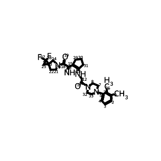 Cc1cccc(N2CCN(C(=O)CNC3=C(C(=N)C(=O)N4CCC5(C4)CC5(F)F)CCC3)CC2)c1C